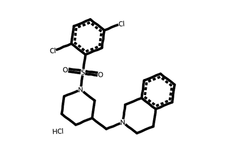 Cl.O=S(=O)(c1cc(Cl)ccc1Cl)N1CCCC(CN2CCc3ccccc3C2)C1